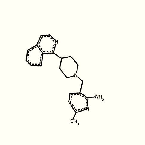 Cc1ncc(CN2CCC(c3nccc4ccccc34)CC2)c(N)n1